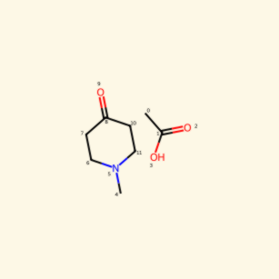 CC(=O)O.CN1CCC(=O)CC1